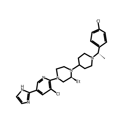 CC[C@H]1CN(c2ncc(-c3ncc[nH]3)cc2Cl)CCN1C1CCN([C@@H](C)c2ccc(Cl)cc2)CC1